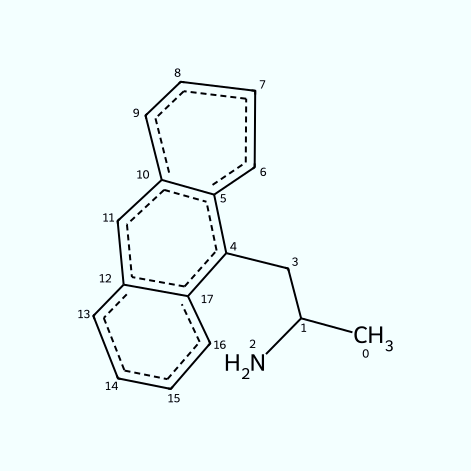 CC(N)Cc1c2ccccc2cc2ccccc12